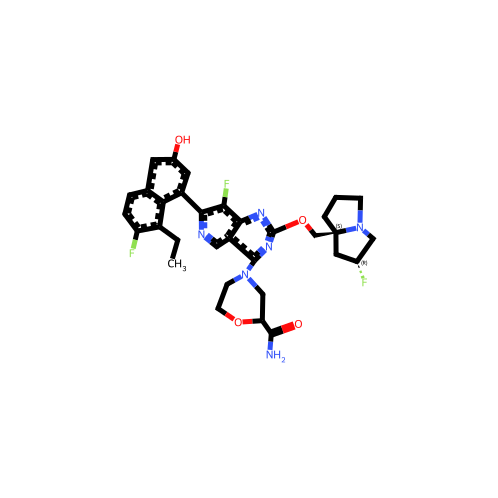 CCc1c(F)ccc2cc(O)cc(-c3ncc4c(N5CCOC(C(N)=O)C5)nc(OC[C@@]56CCCN5C[C@H](F)C6)nc4c3F)c12